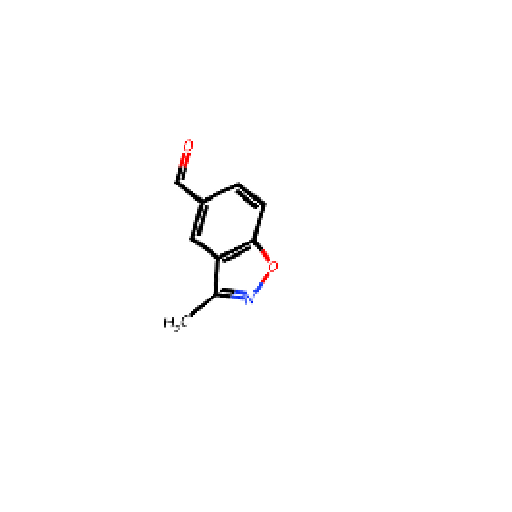 Cc1noc2ccc(C=O)cc12